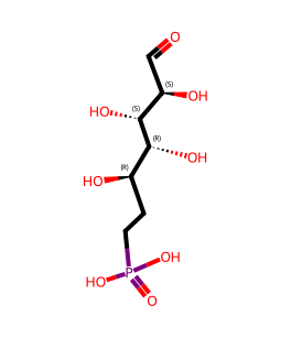 O=C[C@@H](O)[C@@H](O)[C@H](O)[C@H](O)CCP(=O)(O)O